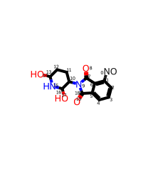 O=Nc1cccc2c1C(=O)N(C1CCC(O)NC1O)C2=O